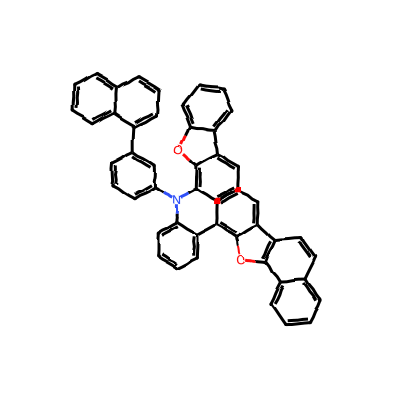 c1cc(-c2cccc3ccccc23)cc(N(c2ccccc2-c2cccc3c2oc2c4ccccc4ccc32)c2cccc3c2oc2ccccc23)c1